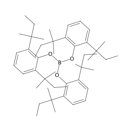 CCC(C)(C)c1cccc(C(C)(C)CC)c1OB(Oc1c(C(C)(C)CC)cccc1C(C)(C)CC)Oc1c(C(C)(C)CC)cccc1C(C)(C)CC